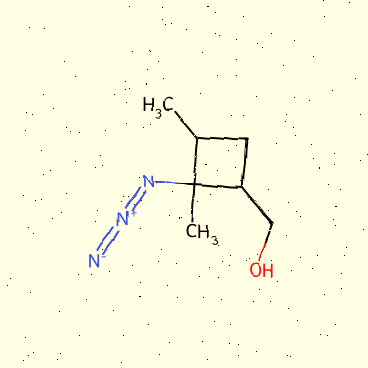 CC1CC(CO)C1(C)N=[N+]=[N-]